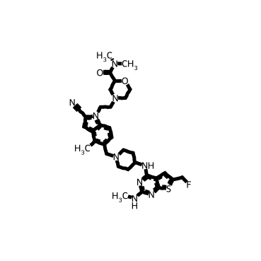 CNc1nc(NC2CCN(Cc3ccc4c(cc(C#N)n4CCN4CCOC(C(=O)N(C)C)C4)c3C)CC2)c2cc(CF)sc2n1